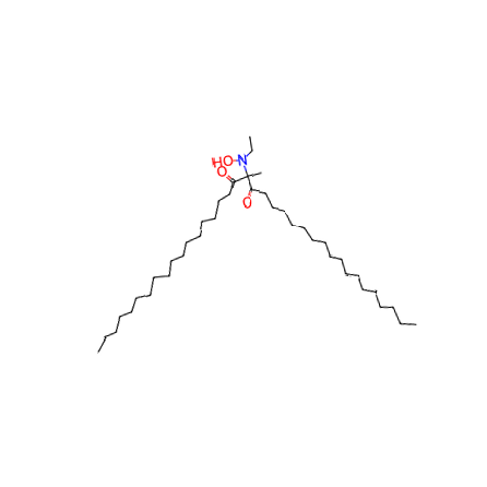 CCCCCCCCCCCCCCCCCC(=O)C(C)(C(=O)CCCCCCCCCCCCCCCCC)N(O)CC